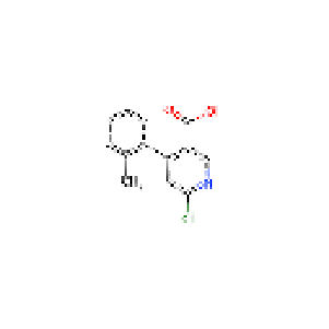 Cc1ccccc1-c1cc(Cl)ncc1C(=O)O